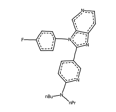 CCCCN(CCC)c1ccc(-c2nc3ccncc3n2-c2ccc(F)cc2)cn1